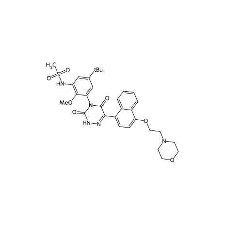 COc1c(NS(C)(=O)=O)cc(C(C)(C)C)cc1-n1c(=O)[nH]nc(-c2ccc(OCCN3CCOCC3)c3ccccc23)c1=O